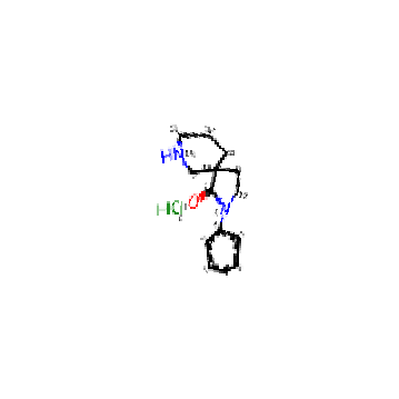 Cl.O=C1N(c2ccccc2)CCC12CCCNC2